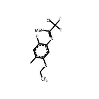 CN/C(=N\c1cc(SCC(F)(F)F)c(C)cc1F)C(F)(F)Cl